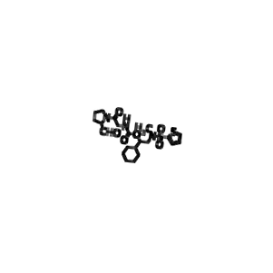 CN(CC(OC(=O)NCC(=O)N1CCCC1C=O)C1CCCCC1)S(=O)(=O)c1cccs1